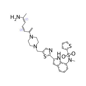 C=C(/C=C\C=C(\C)N)N1CCN(Cc2cnc(-c3cc4cccc(N(C)S(=O)(=O)c5cccs5)c4[nH]3)s2)CC1